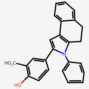 O=C(O)c1cc(-c2cc3c(n2-c2ccccc2)CCc2ccccc2-3)ccc1O